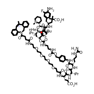 CCCCCCN(C(=O)[C@@H](NC(=O)[C@H]1CCCCN1C)[C@@H](C)CC)[C@H](C[C@@H](OC(=O)NCCNC(=O)OCc1ccc(NC(=O)[C@H](CCCNC(N)=O)NC(=O)[C@@H](NC(=O)[C@H](CCC(=O)O)NC(=O)CCOCCOCCOCCOCCNC(=O)CCC(=O)N2Cc3ccccc3/C(C)=C\c3ccccc32)C(C)C)cc1)c1nc(C(=O)N[C@@H](Cc2ccc(N)c(F)c2)CC(C)(C)C(=O)O)cs1)C(C)C